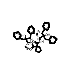 CC(C)C[C@@H](NC(=O)C1(C(=O)N[C@H](CC(C)C)C(O)(Cc2ccccc2)Cc2ccccc2)CCCC1)C(O)(Cc1ccccc1)Cc1ccccc1